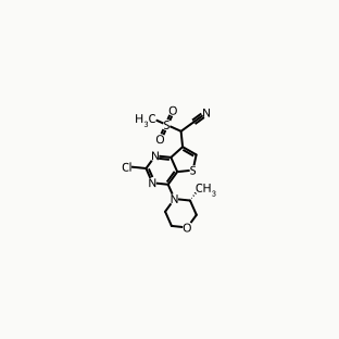 C[C@@H]1COCCN1c1nc(Cl)nc2c(C(C#N)S(C)(=O)=O)csc12